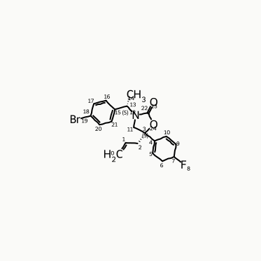 C=CC[C@]1(C2=CCC(F)C=C2)CN([C@@H](C)c2ccc(Br)cc2)C(=O)O1